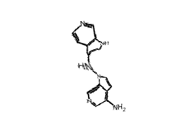 Nc1cncc2c1ccn2Nc1c[nH]c2cnccc12